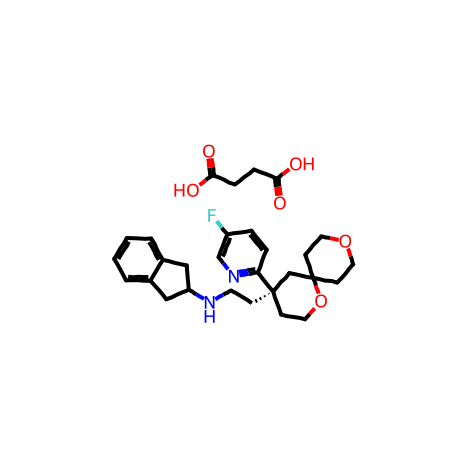 Fc1ccc([C@]2(CCNC3Cc4ccccc4C3)CCOC3(CCOCC3)C2)nc1.O=C(O)CCC(=O)O